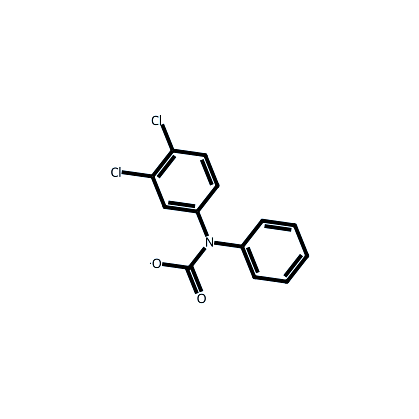 [O]C(=O)N(c1ccccc1)c1ccc(Cl)c(Cl)c1